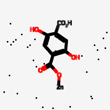 O=C(O)c1cc(O)c(C(=O)[O][Zn])cc1O